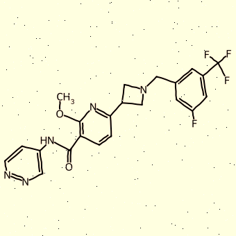 COc1nc(C2CN(Cc3cc(F)cc(C(F)(F)F)c3)C2)ccc1C(=O)Nc1ccnnc1